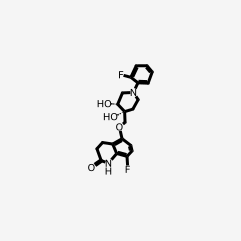 O=C1CCc2c(OC[C@]3(O)CCN(c4ccccc4F)C[C@H]3O)ccc(F)c2N1